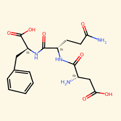 NC(=O)CC[C@H](NC(=O)[C@@H](N)CC(=O)O)C(=O)N[C@@H](Cc1ccccc1)C(=O)O